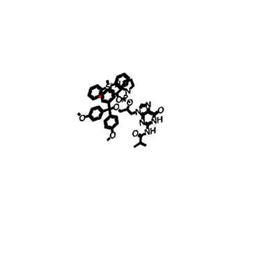 COc1ccc(C(OCC(Cn2cnc3c(=O)[nH]c(NC(=O)C(C)C)nc32)O[P@@]2O[C@H](C[Si](C)(c3ccccc3)c3ccccc3)[C@@H]3CCCN32)(c2ccccc2)c2ccc(OC)cc2)cc1